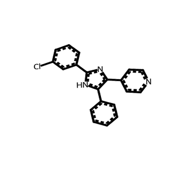 Clc1cccc(-c2nc(-c3ccncc3)c(-c3ccccc3)[nH]2)c1